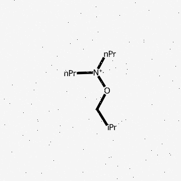 CCC[N+](CCC)OCC(C)C